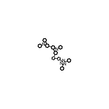 C1=CC(c2ccc3c(c2)c2cc(-c4ccc5c(c4)c4ccccc4n5-c4ccccc4)ccc2n3-c2ccccc2)C(C2=CC=C(c3nc(-c4ccccc4)nc(-c4ccccc4)n3)C2)=C1